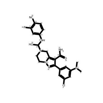 CN(C)c1cc(Cl)cc(-c2nn3c(c2C(N)=O)CN(C(O)Nc2ccc(C#N)c(F)c2)CC3)c1